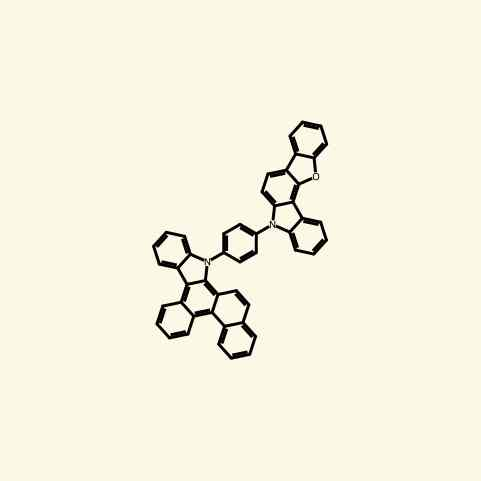 c1ccc2c(c1)ccc1c2c2ccccc2c2c3ccccc3n(-c3ccc(-n4c5ccccc5c5c6oc7ccccc7c6ccc54)cc3)c12